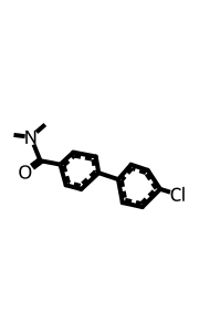 CN(C)C(=O)c1ccc(-c2ccc(Cl)cc2)cc1